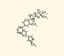 Cc1cc(-c2ncnn3cc(-c4cnn(C)c4)cc23)ccc1[C@@H](C)NC(=O)OC(C)(C)C